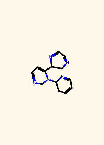 [C]1N=CC=C(C2CN=CC=N2)N1C1CC=CC=N1